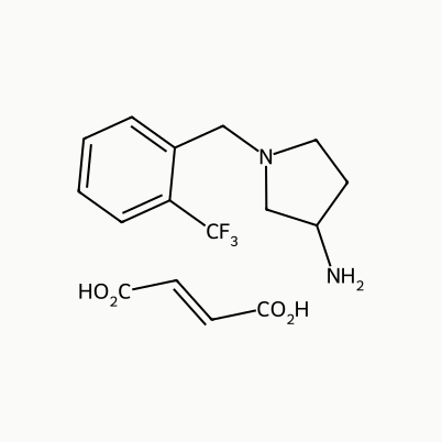 NC1CCN(Cc2ccccc2C(F)(F)F)C1.O=C(O)C=CC(=O)O